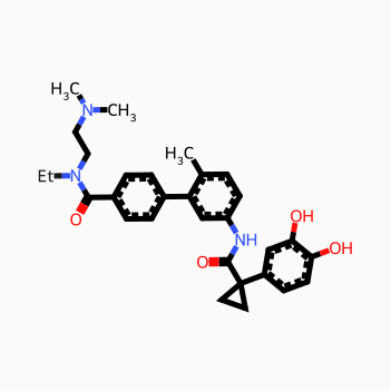 CCN(CCN(C)C)C(=O)c1ccc(-c2cc(NC(=O)C3(c4ccc(O)c(O)c4)CC3)ccc2C)cc1